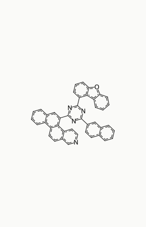 c1ccc2cc(-c3nc(-c4cccc5oc6ccccc6c45)nc(-c4cc5ccccc5c5ccc6cnccc6c45)n3)ccc2c1